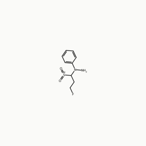 NN(c1ccccc1)C(CCF)[SH](=O)=O